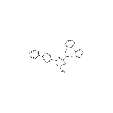 CCOC(=NC(=O)c1ccc(-c2ccccc2)cc1)N1Cc2ccccc2-c2ccccc2C1